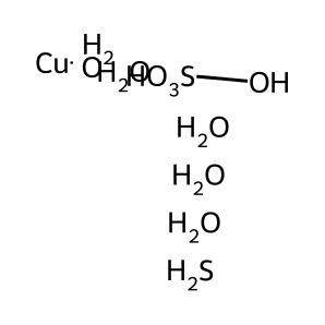 O.O.O.O.O.O=S(=O)(O)O.S.[Cu]